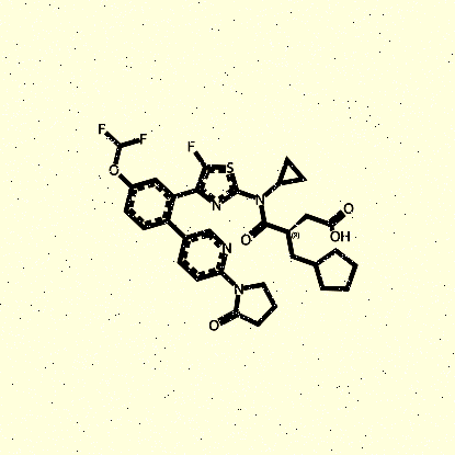 O=C(O)C[C@@H](CC1CCCC1)C(=O)N(c1nc(-c2cc(OC(F)F)ccc2-c2ccc(N3CCCC3=O)nc2)c(F)s1)C1CC1